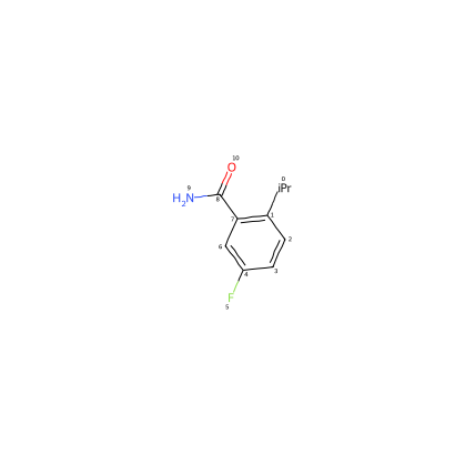 CC(C)c1ccc(F)cc1C(N)=O